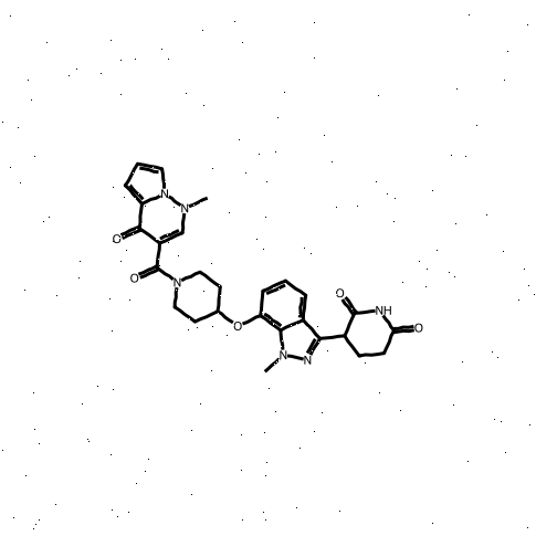 Cn1nc(C2CCC(=O)NC2=O)c2cccc(OC3CCN(C(=O)c4cn(C)n5cccc5c4=O)CC3)c21